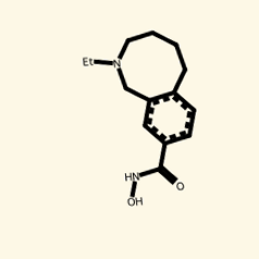 CCN1CCCCc2ccc(C(=O)NO)cc2C1